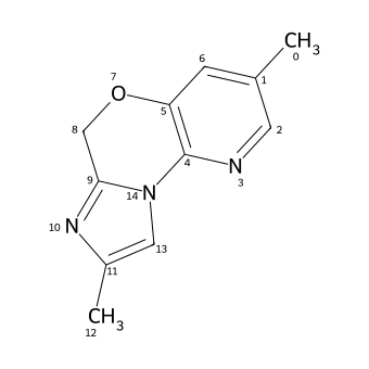 Cc1cnc2c(c1)OCc1nc(C)cn1-2